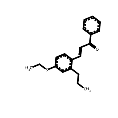 CCCc1cc(SCC)ccc1/C=C/C(=O)c1ccccc1